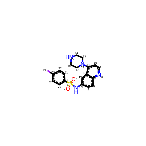 O=S(=O)(Nc1ccc2nccc(N3CCNCC3)c2c1)c1ccc(I)cc1